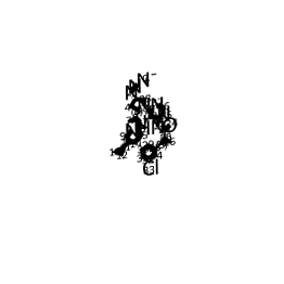 [N-]=[N+]=NC1C[C@H](c2cn3cc(C4CC4)ccc3n2)N(c2cc(NC(=O)[C@H]3C[C@@H]3c3cccc(Cl)c3)ncn2)C1